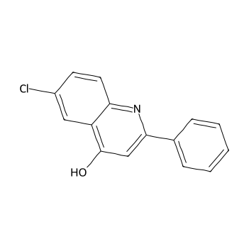 Oc1cc(-c2ccccc2)nc2ccc(Cl)cc12